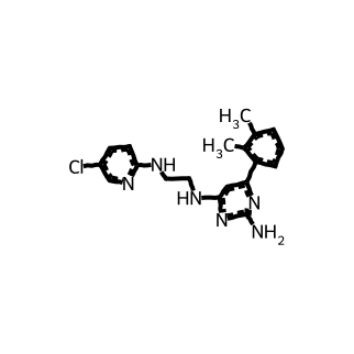 Cc1cccc(-c2cc(NCCNc3ccc(Cl)cn3)nc(N)n2)c1C